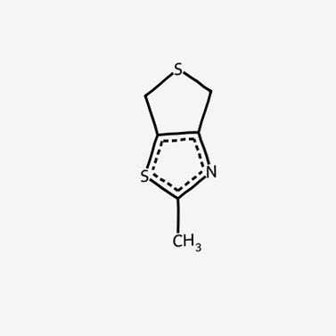 Cc1nc2c(s1)CSC2